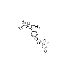 C=C(C)C(=O)OC(C)c1ccc(OCC(=O)OC2C3CC(=O)OC2C(C)C3)cc1